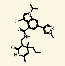 CCCC1(C)C=C(C)NC(=O)C1CNC(=O)c1cc(-c2cnn(C)c2)cc2c1c(Cl)cn2C(C)C